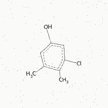 Cc1cc(O)cc(Cl)c1C